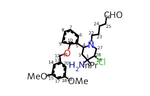 CCCC1(N)CC(c2ccccc2OCc2cc(OC)cc(OC)c2)N(CCCCC=O)CC1Cl